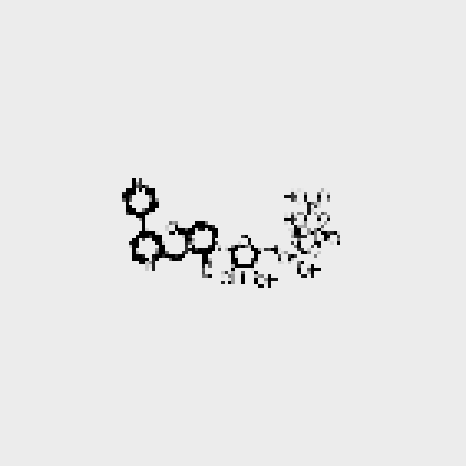 O=c1ccn([C@@H]2O[C@H](COP(=O)(O)OP(=O)(O)OP(=O)(O)O)[C@H](O)[C@@H]2O)c(=O)n1Cc1cc(-c2ccncc2)ccn1